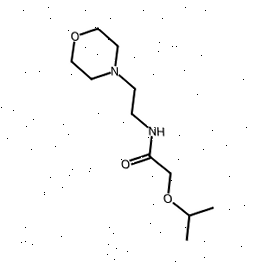 CC(C)OCC(=O)NCCN1CCOCC1